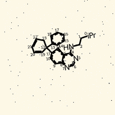 CC(C)CCNc1ncnc2ccc(C3(c4ccccc4)C=CC=CC3)cc12